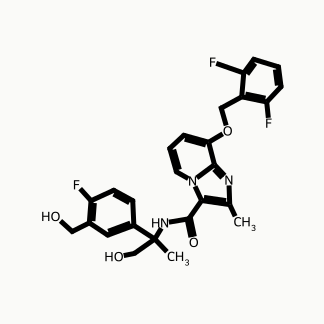 Cc1nc2c(OCc3c(F)cccc3F)cccn2c1C(=O)NC(C)(CO)c1ccc(F)c(CO)c1